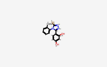 COc1ccccc1-n1c(S)nnc1-c1ccc(O)cc1O